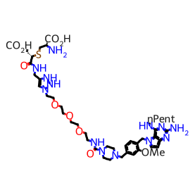 CCCCCNc1nc(N)nc2ccn(Cc3ccc(CN4CCN(C(=O)NCCOCCOCCOCCN5C=C(CNC(=O)[C@H](CC(=O)O)SC[C@H](N)C(=O)O)NN5)CC4)cc3OC)c12